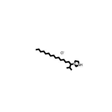 CCCCCCCCCCCCCCC(C(C)C)[N+]1=CNCC1.[Cl-]